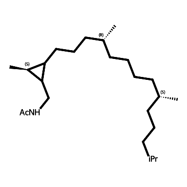 CC(=O)NCC1C(CCC[C@H](C)CCCC[C@H](C)CCCC(C)C)[C@@H]1C